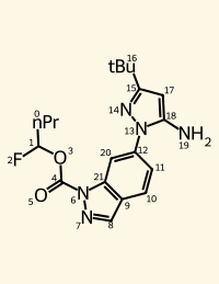 CCCC(F)OC(=O)n1ncc2ccc(-n3nc(C(C)(C)C)cc3N)cc21